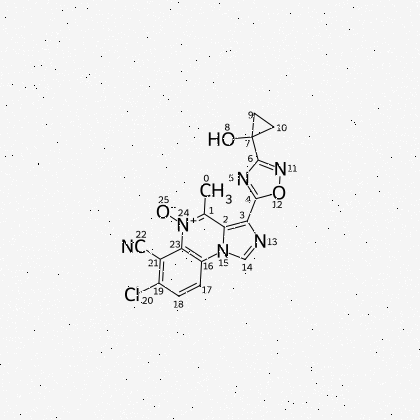 Cc1c2c(-c3nc(C4(O)CC4)no3)ncn2c2ccc(Cl)c(C#N)c2[n+]1[O-]